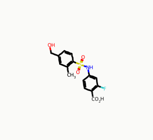 Cc1cc(CO)ccc1S(=O)(=O)Nc1ccc(C(=O)O)c(F)c1